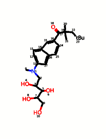 CN(CC(O)C(O)C(O)CO)c1ccc2cc(C(=O)C(C)(C)CC(C)(C)C)ccc2c1